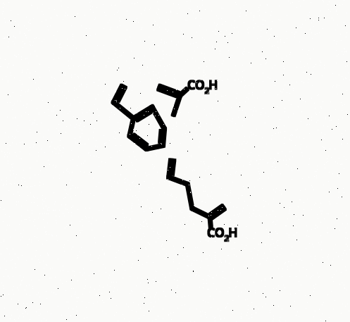 C=C(C)C(=O)O.C=CCCC(=C)C(=O)O.C=Cc1ccccc1